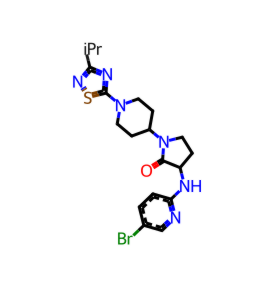 CC(C)c1nsc(N2CCC(N3CCC(Nc4ccc(Br)cn4)C3=O)CC2)n1